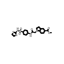 COC(=O)c1ccc2c(ccn2CC(=O)Nc2ccc(S(=O)(=O)Nc3nccs3)cc2)c1